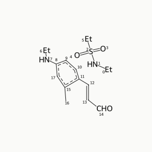 CCNS(=O)(=O)CC.CCNc1ccc(C=CC=O)c(C)c1